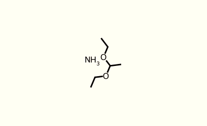 CCOC(C)OCC.N